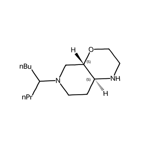 CCCCC(CCC)N1CC[C@@H]2NCCO[C@H]2C1